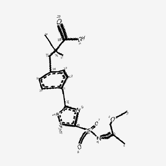 COC(C)=NS(=O)(=O)c1nc(-c2ccc(CC(C)(C)C(=O)O)cc2)ns1